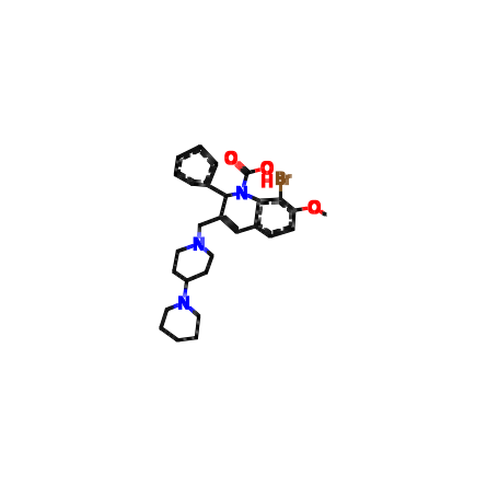 COc1ccc2c(c1Br)N(C(=O)O)C(c1ccccc1)C(CN1CCC(N3CCCCC3)CC1)=C2